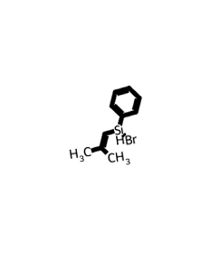 CC(C)=C[SiH](Br)c1ccccc1